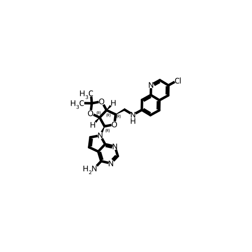 CC1(C)O[C@@H]2[C@H](O1)[C@@H](CNc1ccc3cc(Cl)cnc3c1)O[C@H]2n1ccc2c(N)ncnc21